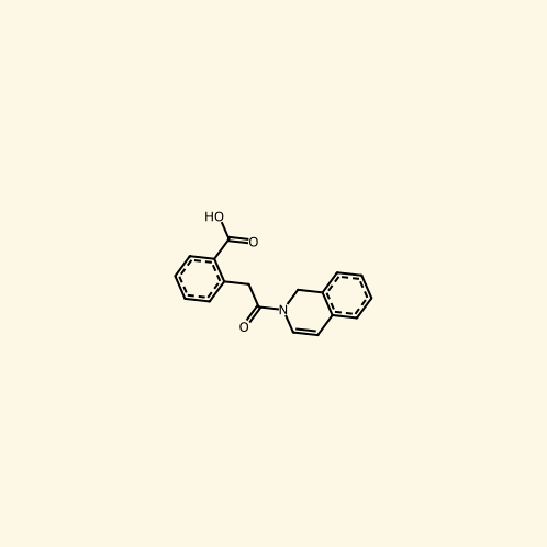 O=C(O)c1ccccc1CC(=O)N1C=Cc2ccccc2C1